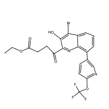 CCOC(=O)CCC(=O)c1nc2c(-c3ccc(OC(F)(F)F)nc3)cccc2c(Br)c1O